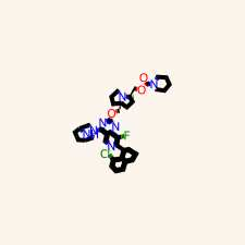 O=C(OC[C@H]1CC[C@@]2(COc3nc(N4CC5CCC(C4)N5)c4cnc(-c5cccc6cccc(Cl)c56)c(F)c4n3)CCCN12)N1CCCCC1